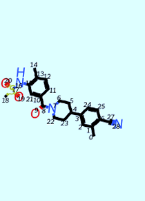 Cc1cc(C2CCN(C(=O)c3ccc(C)c(NS(C)(=O)=O)c3)CC2)ccc1C#N